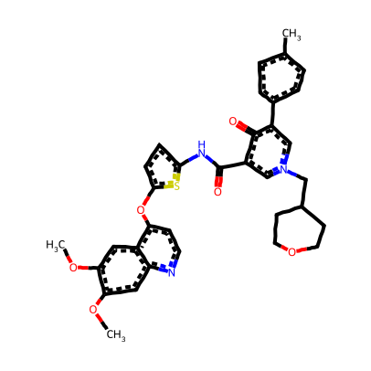 COc1cc2nccc(Oc3ccc(NC(=O)c4cn(CC5CCOCC5)cc(-c5ccc(C)cc5)c4=O)s3)c2cc1OC